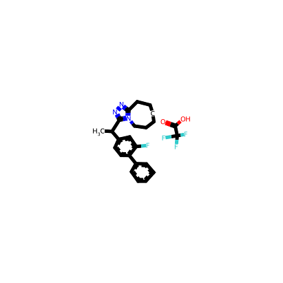 CC(c1ccc(-c2ccccc2)c(F)c1)c1nnc2n1CCCCCC2.O=C(O)C(F)(F)F